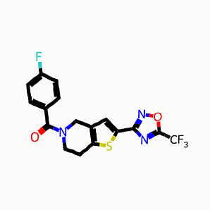 O=C(c1ccc(F)cc1)N1CCc2sc(-c3noc(C(F)(F)F)n3)cc2C1